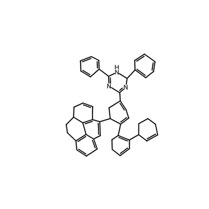 C1=CC(C2=C(C3=CC=C(C4=NC(c5ccccc5)NC(c5ccccc5)=N4)CC3c3cc4cccc5c4c4c3C=CCC4CC5)CCC=C2)CCC1